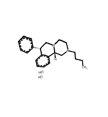 CCCCN1CCN2C[C@@H](c3ccccc3)c3ccccc3[C@H]2C1.Cl.Cl